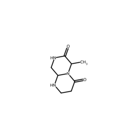 CC1C(=O)NCC2NCCC(=O)N21